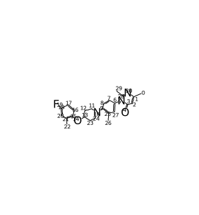 Cc1cc(=O)n(-c2ccc(N3CCC(Oc4ccc(F)cc4C)CC3)c(C)c2)c(C)n1